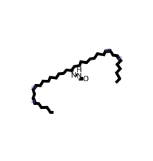 CCCCC/C=C\C/C=C\CCCCCCCCC(CCCCCCCC/C=C\C/C=C\CCCCC)=NNC=O